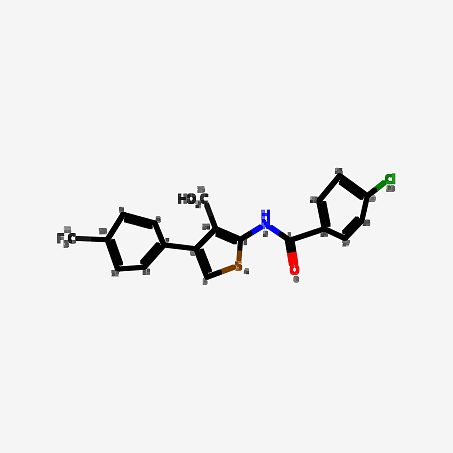 O=C(Nc1scc(-c2ccc(C(F)(F)F)cc2)c1C(=O)O)c1ccc(Cl)cc1